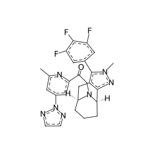 Cc1cc(-n2nccn2)cc(C(=O)CN2[C@H]3CCC[C@@H]2c2nn(C)c(-c4cc(F)c(F)c(F)c4)c2C3)n1